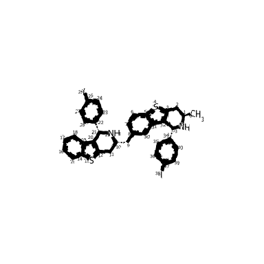 C[C@@H]1Cc2sc3ccc(C[C@@H]4Cc5sc6ccccc6c5[C@H](c5ccc(I)cc5)N4)cc3c2[C@@H](c2ccc(I)cc2)N1